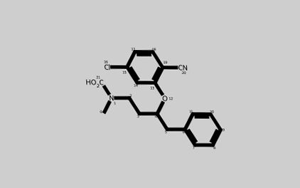 CN(CCC(Cc1ccccc1)Oc1cc(Cl)ccc1C#N)C(=O)O